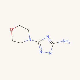 NC1=NC(N2CCOCC2)=N[N]1